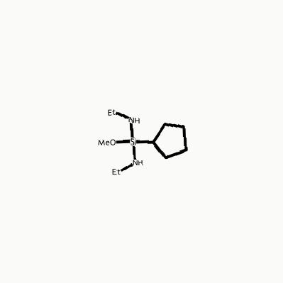 CCN[Si](NCC)(OC)C1CCCC1